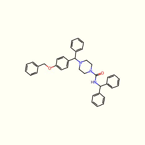 O=C(NC(c1ccccc1)c1ccccc1)N1CCN(C(c2ccccc2)c2ccc(OCc3ccccc3)cc2)CC1